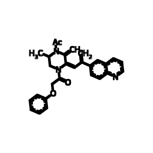 C=C(/C=C1\C(=C)N(C(C)=O)C(C)CN1C(=O)COc1ccccc1)c1ccc2ncccc2c1